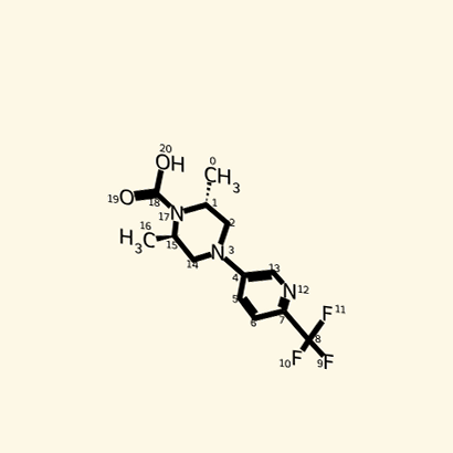 C[C@@H]1CN(c2ccc(C(F)(F)F)nc2)C[C@@H](C)N1C(=O)O